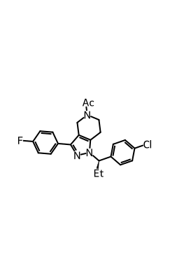 CC[C@H](c1ccc(Cl)cc1)n1nc(-c2ccc(F)cc2)c2c1CCN(C(C)=O)C2